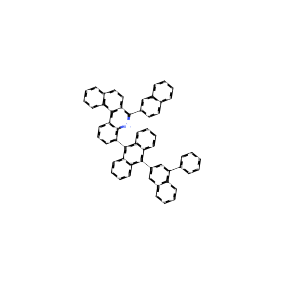 c1ccc(-c2cc(-c3c4ccccc4c(-c4cccc5c4nc(-c4ccc6ccccc6c4)c4ccc6ccccc6c45)c4ccccc34)cc3ccccc23)cc1